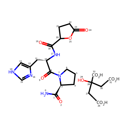 NC(=O)[C@@H]1CCCN1C(=O)[C@H](Cc1c[nH]cn1)NC(=O)C1CCC(=O)O1.O=C(O)CC(O)(CC(=O)O)C(=O)O